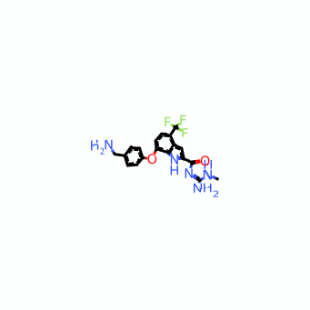 CNC(N)=NC(=O)c1cc2c(C(F)(F)F)ccc(Oc3ccc(CN)cc3)c2[nH]1